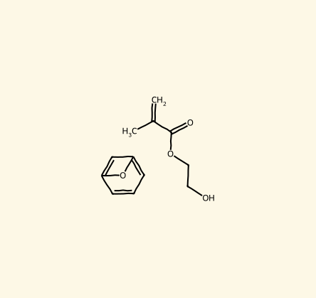 C=C(C)C(=O)OCCO.c1cc2cc(c1)O2